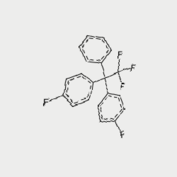 Fc1ccc(C(c2ccccc2)(c2ccc(F)cc2)C(F)(F)F)cc1